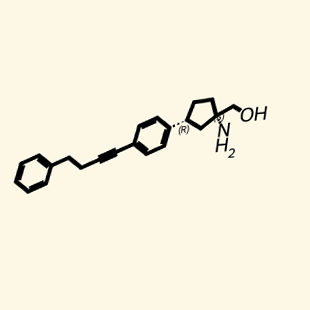 N[C@@]1(CO)CC[C@@H](c2ccc(C#CCCc3ccccc3)cc2)C1